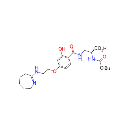 CC(C)COC(=O)N[C@@H](CNC(=O)c1ccc(OCCNC2=NCCCCC2)cc1O)C(=O)O